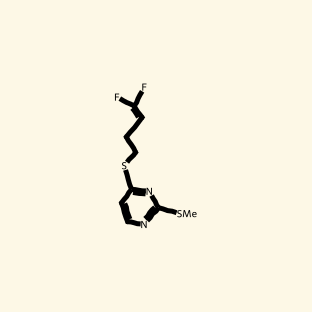 CSc1nccc(SCCC=C(F)F)n1